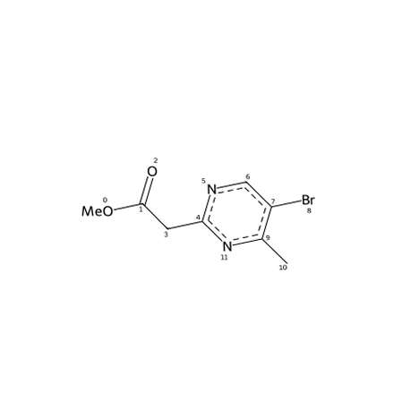 COC(=O)Cc1ncc(Br)c(C)n1